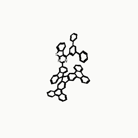 c1ccc(-c2cc(-c3ccccc3)cc(-c3nc(-c4ccc5c(c4)-c4ccccc4C54c5cc6c7ccccc7c7ccccc7c6cc5-c5cc6c7ccccc7c7ccccc7c6cc54)nc4sc5ccccc5c34)c2)cc1